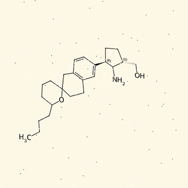 CCCCC1CCCC2(CCc3cc([C@H]4CC[C@H](CO)C4N)ccc3C2)O1